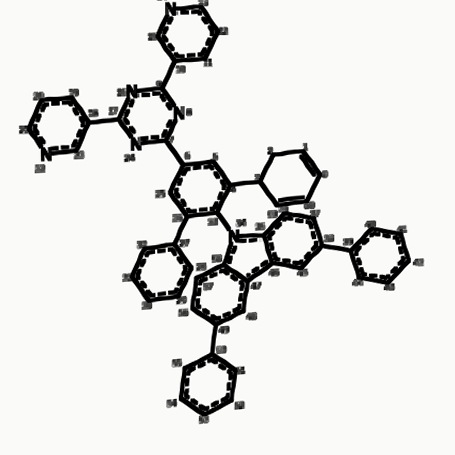 C1=CCC(c2cc(-c3nc(-c4cccnc4)nc(-c4cccnc4)n3)cc(-c3ccccc3)c2-n2c3ccc(-c4ccccc4)cc3c3cc(-c4ccccc4)ccc32)C=C1